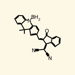 BN1c2ccccc2C(C)(C)c2cc(/C=C3\C(=O)c4ccccc4C3=C(C#N)C#N)ccc21